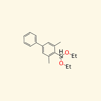 CCO[SiH](OCC)c1c(C)cc(-c2ccccc2)cc1C